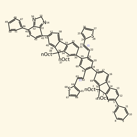 CCCCCCCCC1(CCCCCCCC)c2cc(-c3ccccc3)ccc2-c2ccc(-c3cc(/C=C/c4cccs4)c(-c4ccc5c(c4)C(CCCCCCCC)(CCCCCCCC)c4cc(-c6ccc(-c7ccccc7)c7c6=NCN=7)ccc4-5)cc3/C=C/c3cccs3)cc21